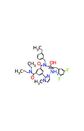 CCCN(CCC)C(=O)c1cc(C(=O)N(Cc2cccc(CC)c2)C[C@@H](O)[C@@H](N)Cc2cc(F)cc(F)c2)cc(-c2nccn2C)c1